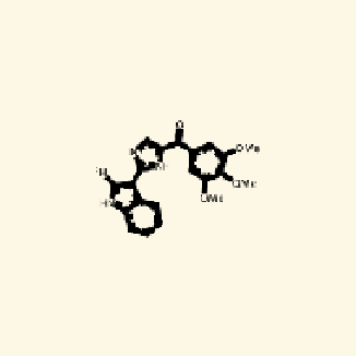 [2H]c1[nH]c2ccccc2c1-c1ncc(C(=O)c2cc(OC)c(OC)c(OC)c2)[nH]1